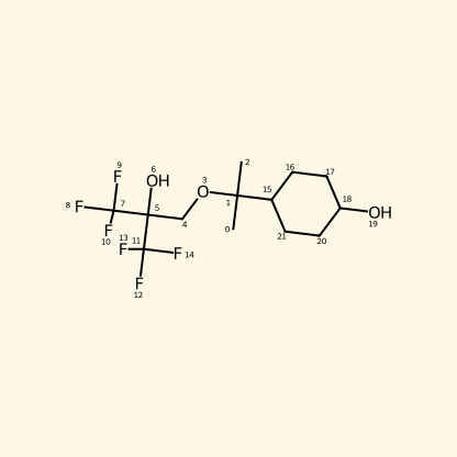 CC(C)(OCC(O)(C(F)(F)F)C(F)(F)F)C1CCC(O)CC1